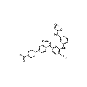 C=CC(=O)Nc1cccc(Nc2nc(Nc3ccc(C4CCN(C(=O)CC)CC4)cc3OC)ncc2C)c1